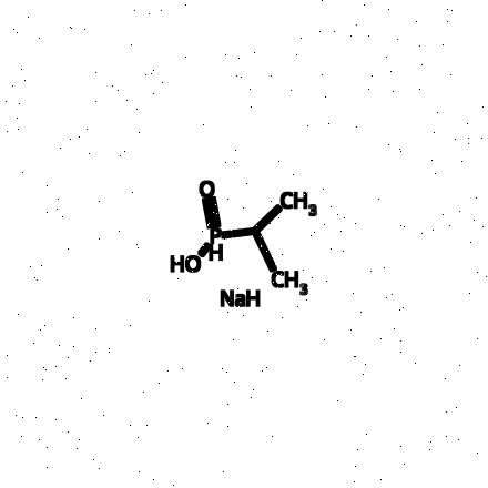 CC(C)[PH](=O)O.[NaH]